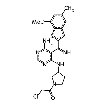 COc1cc(C)cc2cc(C(=N)c3c(N)ncnc3NC3CCN(C(=O)CCl)C3)sc12